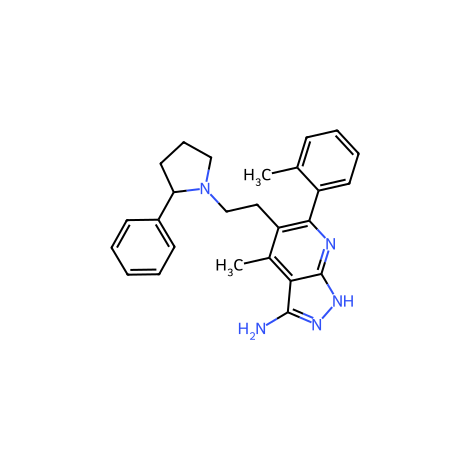 Cc1ccccc1-c1nc2[nH]nc(N)c2c(C)c1CCN1CCCC1c1ccccc1